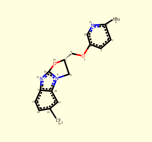 CC(C)(C)c1ccc(OC[C@@H]2Cn3c(nc4ccc(C(F)(F)F)cc43)O2)cn1